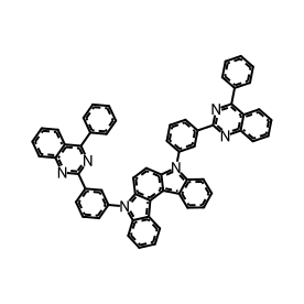 c1ccc(-c2nc(-c3cccc(-n4c5ccccc5c5c6c7ccccc7n(-c7cccc(-c8nc(-c9ccccc9)c9ccccc9n8)c7)c6ccc54)c3)nc3ccccc23)cc1